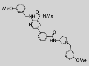 CNC(=O)c1nc(-c2cccc(C(=O)NC3CCN(Cc4cccc(OC)c4)C3)c2)cnc1NCc1cccc(OC)c1